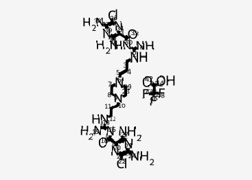 N=C(NCCCN1CCN(CCCNC(N)=NC(=O)c2nc(Cl)c(N)nc2N)CC1)NC(=O)c1nc(Cl)c(N)nc1N.O=C(O)C(F)(F)F